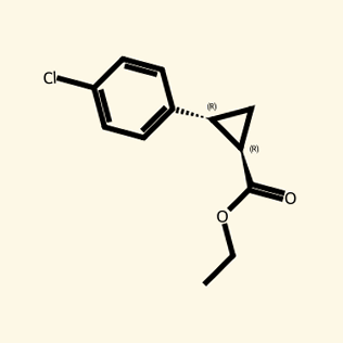 CCOC(=O)[C@@H]1C[C@H]1c1ccc(Cl)cc1